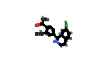 COC(=O)c1ccc(C2=NCCc3ccc(Cl)cc32)cc1OC